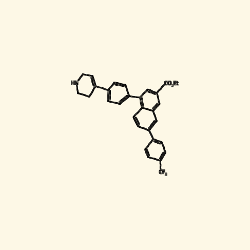 CCOC(=O)c1cc(-c2ccc(C3=CCNCC3)cc2)c2ccc(-c3ccc(C(F)(F)F)cc3)cc2c1